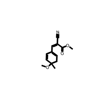 COC(=O)C(C#N)=CC1=CCC(C)(OC)C=C1